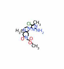 CCOC(=O)CN1CCC2(CCC1=O)CN(c1nc(N)nc(C)c1Cl)CCN2C